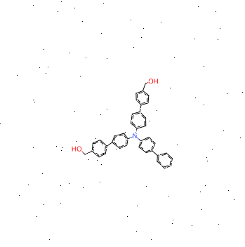 OCc1ccc(-c2ccc(N(c3ccc(-c4ccccc4)cc3)c3ccc(-c4ccc(CO)cc4)cc3)cc2)cc1